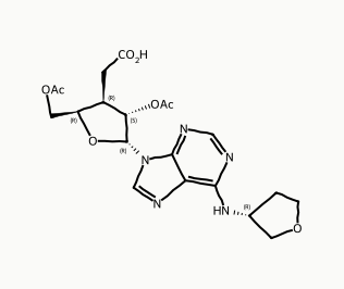 CC(=O)OC[C@@H]1O[C@@H](n2cnc3c(N[C@@H]4CCOC4)ncnc32)[C@@H](OC(C)=O)[C@@H]1CC(=O)O